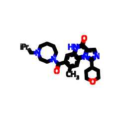 Cc1cc2c(cc1C(=O)N1CCCCN(CC(C)C)CC1)[nH]c(=O)c1cnc(C3CCOCC3)n12